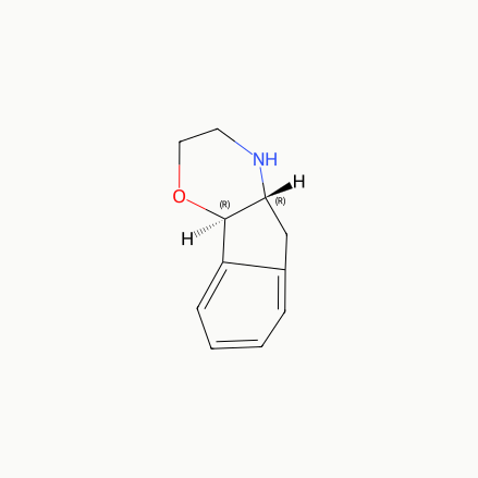 c1ccc2c(c1)C[C@H]1NCCO[C@H]21